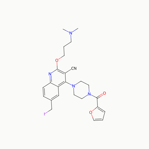 CN(C)CCCOc1nc2ccc(CI)cc2c(N2CCN(C(=O)c3ccco3)CC2)c1C#N